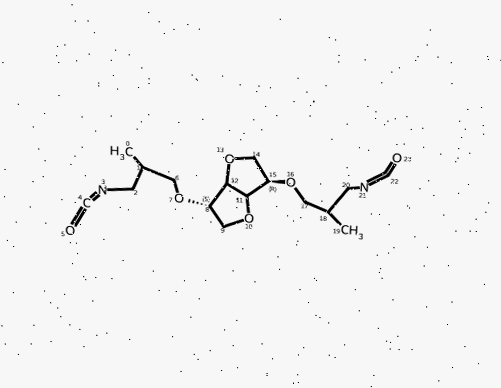 CC(CN=C=O)CO[C@H]1COC2C1OC[C@H]2OCC(C)CN=C=O